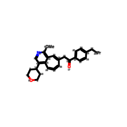 COc1ncc(C2CCOCC2)c2c1C=C(CC(=O)c1ccc(CC(C)C)cc1)C=C=C2